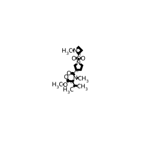 COC(=O)[C@H](C(C)C)N(C)C(=O)[C@H]1CCN(S(=O)(=O)[C@H]2CCN2C)C1